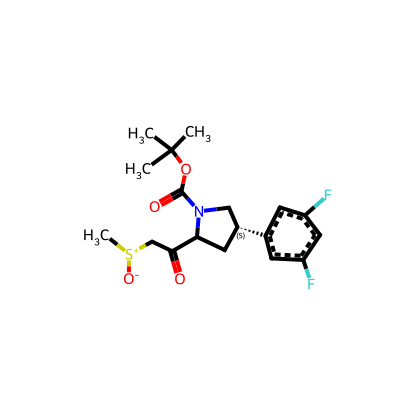 C[S+]([O-])CC(=O)C1C[C@@H](c2cc(F)cc(F)c2)CN1C(=O)OC(C)(C)C